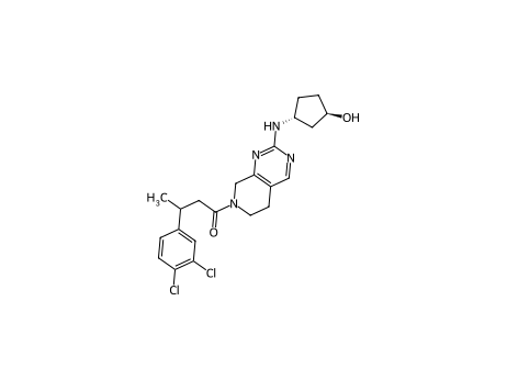 CC(CC(=O)N1CCc2cnc(N[C@@H]3CC[C@@H](O)C3)nc2C1)c1ccc(Cl)c(Cl)c1